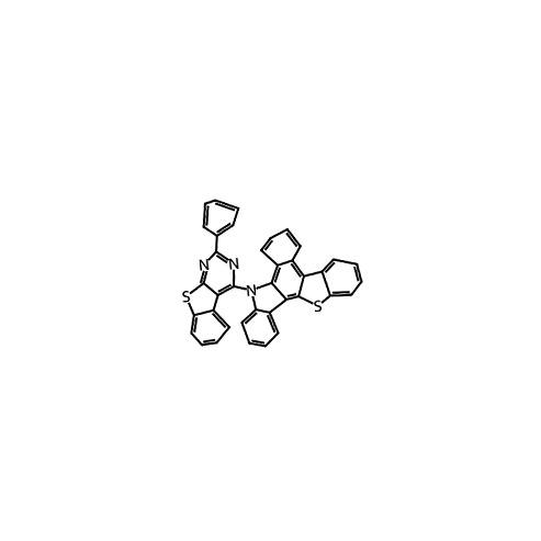 c1ccc(-c2nc(-n3c4ccccc4c4c5sc6ccccc6c5c5ccccc5c43)c3c(n2)sc2ccccc23)cc1